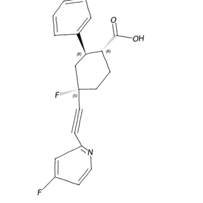 O=C(O)[C@@H]1CC[C@@](F)(C#Cc2cc(F)ccn2)C[C@H]1c1ccccc1